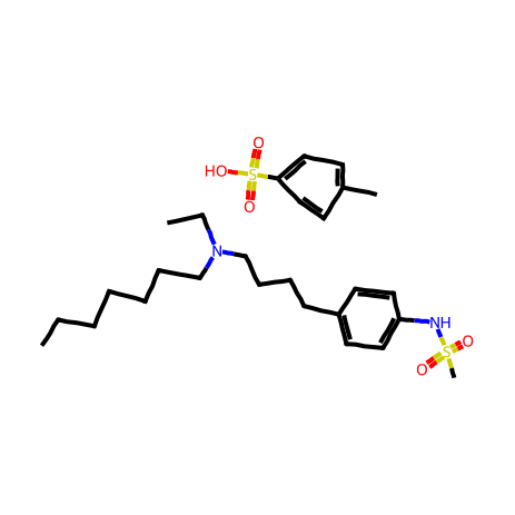 CCCCCCCN(CC)CCCCc1ccc(NS(C)(=O)=O)cc1.Cc1ccc(S(=O)(=O)O)cc1